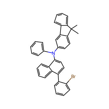 CC1(C)c2ccccc2-c2cc(N(c3ccccc3)c3ccc(-c4ccccc4Br)c4ccccc34)ccc21